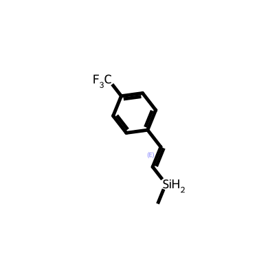 C[SiH2]/C=C/c1ccc(C(F)(F)F)cc1